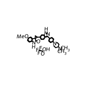 COc1ccc2c(c1)C1(CC1c1ccc3c(-c4ccc(N5CCC(N(C)C)CC5)cc4)n[nH]c3c1)C(=O)N2.O=C(O)C(F)(F)F